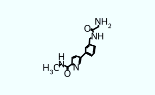 CNC(=O)c1ccc(-c2cccc(CNC(=O)CN)c2)cn1